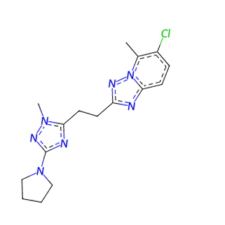 Cc1c(Cl)ccc2nc(CCc3nc(N4CCCC4)nn3C)nn12